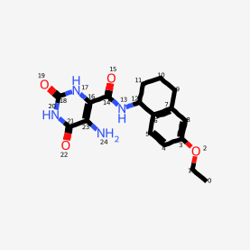 CCOc1ccc2c(c1)CCCC2NC(=O)c1[nH]c(=O)[nH]c(=O)c1N